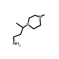 CC(CCN)N1CCN(C)CC1